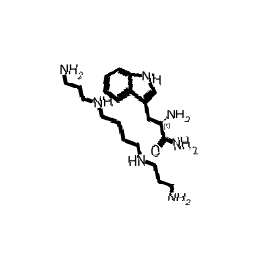 NC(=O)[C@@H](N)Cc1c[nH]c2ccccc12.NCCCNCCCCNCCCN